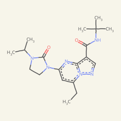 CCc1cc(N2CCN(C(C)C)C2=O)nc2c(C(=O)NC(C)(C)C)cnn12